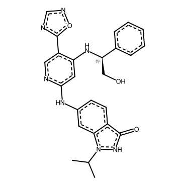 CC(C)n1[nH]c(=O)c2ccc(Nc3cc(N[C@H](CO)c4ccccc4)c(-c4ncno4)cn3)cc21